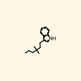 CCCC(C)(C)CCc1c[nH]c2ccccc12